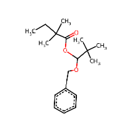 CCC(C)(C)C(=O)OC(OCc1ccccc1)C(C)(C)C